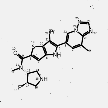 Cc1cc(-c2[nH]c3cc(C(=O)N(C)[C@@H]4CNC[C@H]4F)sc3c2C(C)C)cn2ncnc12